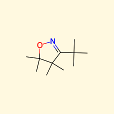 CC(C)(C)C1=NOC(C)(C)C1(C)C